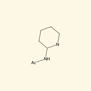 CC(=O)NC1CCCC[N]1